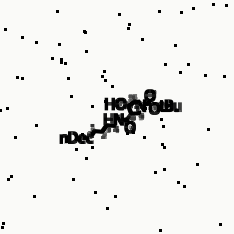 CCCCCCCCCCCCCCNC(=O)[C@@H]1CN(C(=O)OC(C)(C)C)C[C@@H]1O